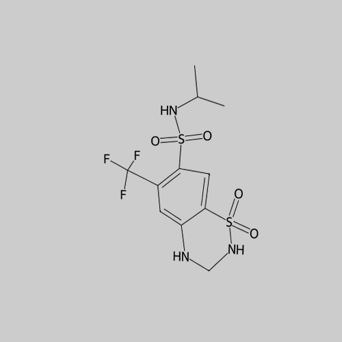 CC(C)NS(=O)(=O)c1cc2c(cc1C(F)(F)F)NCNS2(=O)=O